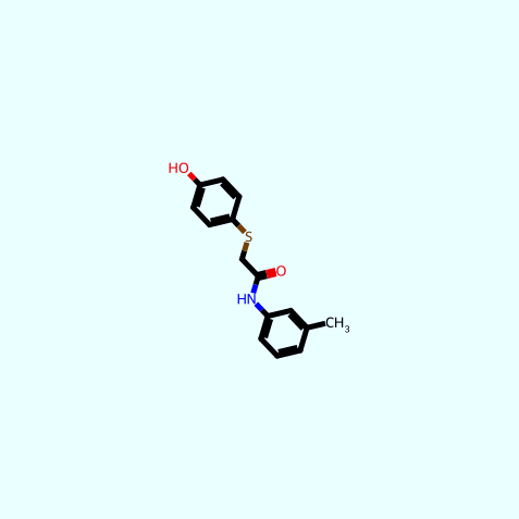 Cc1cccc(NC(=O)CSc2ccc(O)cc2)c1